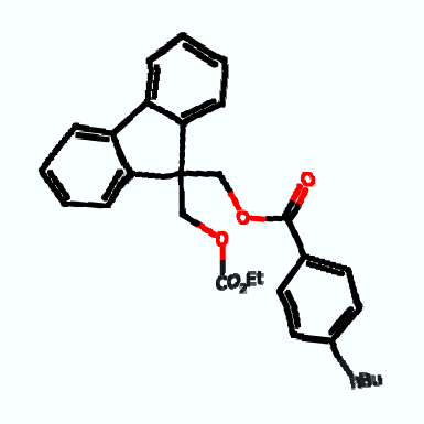 CCCCc1ccc(C(=O)OCC2(COC(=O)OCC)c3ccccc3-c3ccccc32)cc1